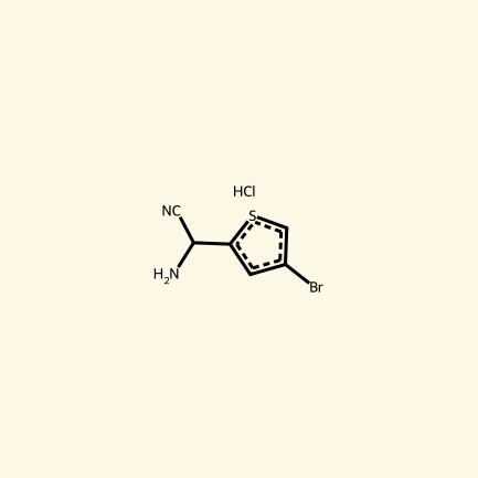 Cl.N#CC(N)c1cc(Br)cs1